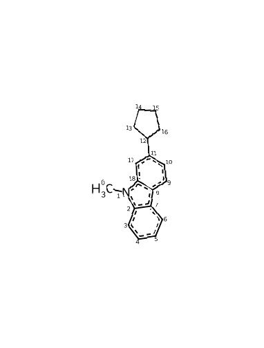 Cn1c2ccccc2c2ccc(C3CCCC3)cc21